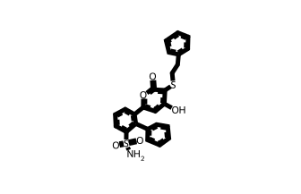 NS(=O)(=O)c1cccc(-c2cc(O)c(SCCc3ccccc3)c(=O)o2)c1-c1ccccc1